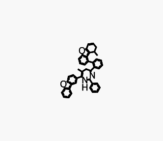 CC1=C(c2ccc3oc4ccccc4c3c2)NC(c2ccccc2)N=C(c2ccccc2-c2cccc3oc4c(c23)C(C)CC=C4)C1